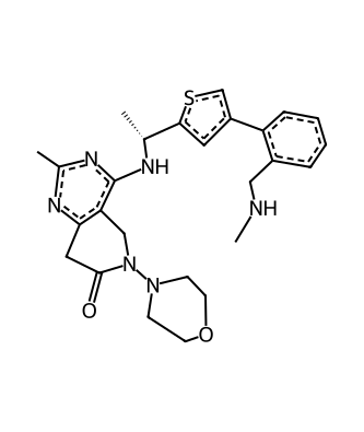 CNCc1ccccc1-c1csc([C@@H](C)Nc2nc(C)nc3c2CN(N2CCOCC2)C(=O)C3)c1